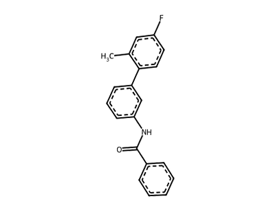 Cc1cc(F)ccc1-c1cccc(NC(=O)c2ccccc2)c1